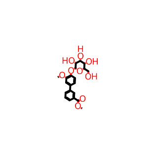 COC(=O)c1cccc(-c2ccc(OC3OC(CO)C(O)C(O)C3O)c(OC)c2)c1